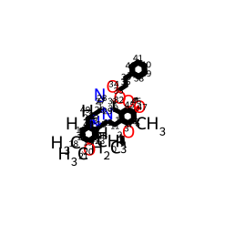 C=CCOc1c(C)c2c(c3c1CC1[C@H]4c5c(cc(C)c(OC)c5C)C[C@H]([C@H](C#N)N1[C@H]3COC(=O)CCc1ccccc1)N4C)OCO2